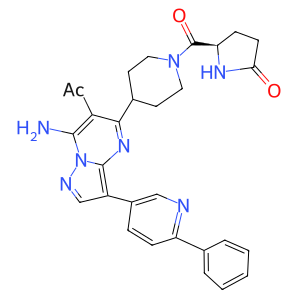 CC(=O)c1c(C2CCN(C(=O)[C@H]3CCC(=O)N3)CC2)nc2c(-c3ccc(-c4ccccc4)nc3)cnn2c1N